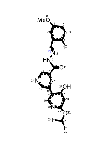 COc1cnc(F)c(/C=N/NC(=O)c2cncc(-c3cnc(OC(F)F)cc3O)n2)c1